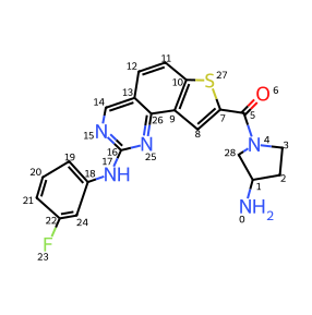 NC1CCN(C(=O)c2cc3c(ccc4cnc(Nc5cccc(F)c5)nc43)s2)C1